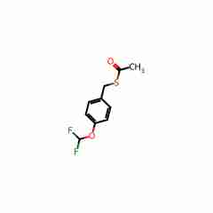 CC(=O)SCc1ccc(OC(F)F)cc1